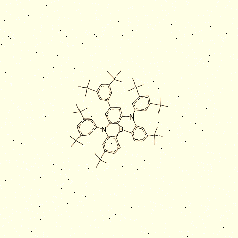 CC(C)(C)c1cc(-c2cc3c4c(c2)N(c2cc(C(C)(C)C)cc(C(C)(C)C)c2)c2cc(C(C)(C)C)ccc2B4c2ccc(C(C)(C)C)cc2N3c2cc(C(C)(C)C)cc(C(C)(C)C)c2)cc(C(C)(C)C)c1